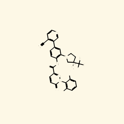 N#Cc1ccncc1-c1ccc(NC(=O)c2ccc(=O)n(-c3c(F)cccc3F)n2)c(N2CC[C@](N)(C(F)(F)F)C2)c1